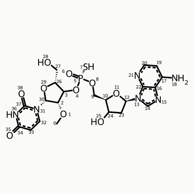 CO[C@H]1C(O[P@](=O)(S)OC[C@H]2O[C@@H](n3cnc4c(N)ccnc43)CC2O)[C@@H](CO)O[C@H]1n1ccc(=O)[nH]c1=O